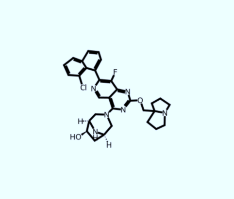 O[C@@H]1C[C@@H]2CN(c3nc(OCC45CCCN4CCC5)nc4c(F)c(-c5cccc6cccc(Cl)c56)ncc34)C[C@H]1N2